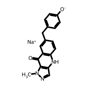 Cn1ncc2[nH]c3ccc(Cc4ccc([O-])cc4)cc3c(=O)c21.[Na+]